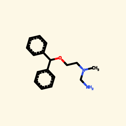 CN(CN)CCOC(c1ccccc1)c1ccccc1